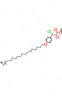 CCCCCCCCCCCCCCCCOc1ccc(C(Cl)C(=O)C(=O)OC)cc1